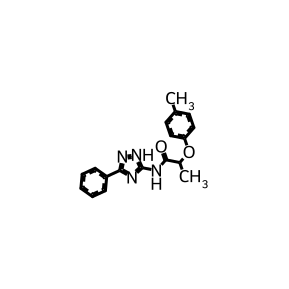 Cc1ccc(OC(C)C(=O)Nc2nc(-c3ccccc3)n[nH]2)cc1